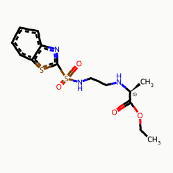 CCOC(=O)[C@H](C)NCCNS(=O)(=O)c1nc2ccccc2s1